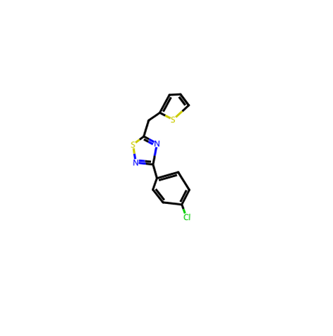 Clc1ccc(-c2nsc(Cc3cccs3)n2)cc1